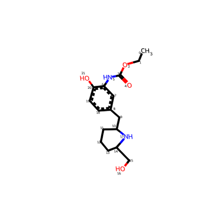 CCOC(=O)Nc1cc(CC2CCCC(CO)N2)ccc1O